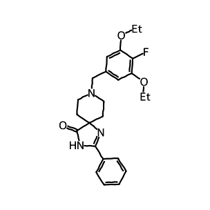 CCOc1cc(CN2CCC3(CC2)N=C(c2ccccc2)NC3=O)cc(OCC)c1F